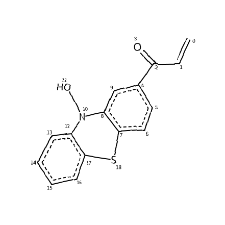 C=CC(=O)c1ccc2c(c1)N(O)c1ccccc1S2